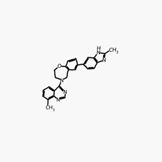 Cc1nc2ccc(-c3ccc4c(c3)CN(c3ncnc5c(C)cccc35)CCO4)cc2[nH]1